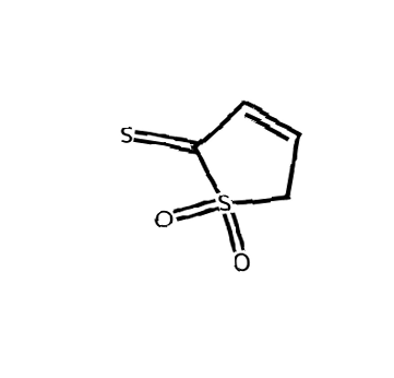 O=S1(=O)CC=CC1=S